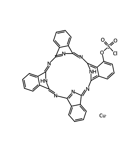 O=S(=O)(Cl)Oc1cccc2c3nc4nc(nc5[nH]c(nc6nc(nc([nH]3)c12)-c1ccccc1-6)c1ccccc51)-c1ccccc1-4.[Cu]